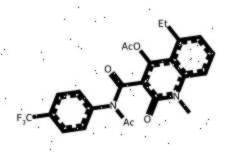 CCc1cccc2c1c(OC(C)=O)c(C(=O)N(C(C)=O)c1ccc(C(F)(F)F)cc1)c(=O)n2C